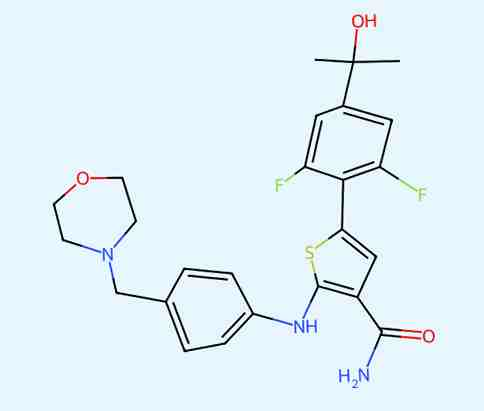 CC(C)(O)c1cc(F)c(-c2cc(C(N)=O)c(Nc3ccc(CN4CCOCC4)cc3)s2)c(F)c1